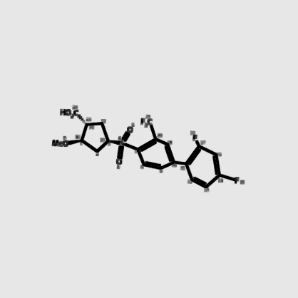 CO[C@@H]1C[C@H](S(=O)(=O)c2ccc(-c3ccc(F)cc3F)cc2C(F)(F)F)C[C@H]1C(=O)O